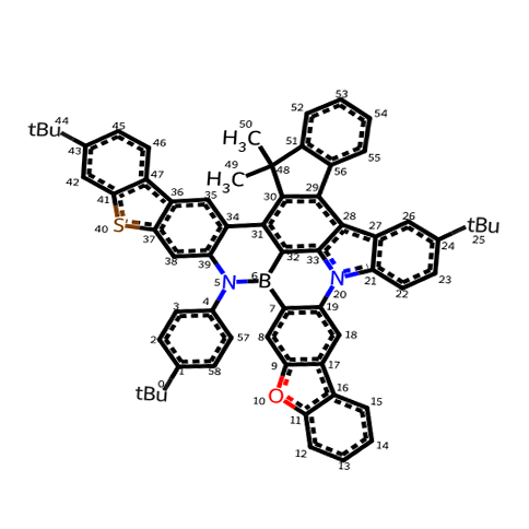 CC(C)(C)c1ccc(N2B3c4cc5oc6ccccc6c5cc4-n4c5ccc(C(C)(C)C)cc5c5c6c(c(c3c54)-c3cc4c(cc32)sc2cc(C(C)(C)C)ccc24)C(C)(C)c2ccccc2-6)cc1